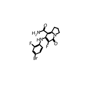 NC(=O)c1c(Nc2ccc(Br)cc2F)c(F)c(=O)n2c1CCC2